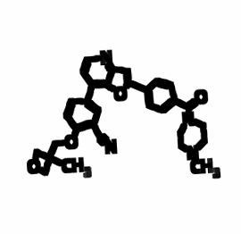 CN1CCN(C(=O)c2ccc(-c3cc4nccc(-c5ccc(OCC6(C)COC6)c(C#N)c5)c4o3)cc2)CC1